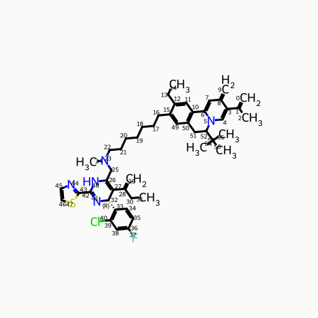 C=C(C)C1=CN2C(=CC1=C)c1cc(CC)c(CCCCCCCN(C)CC3=C(C(=C)CC)[C@H](c4ccc(F)cc4Cl)N=C(c4nccs4)N3)cc1CC2C(C)(C)C